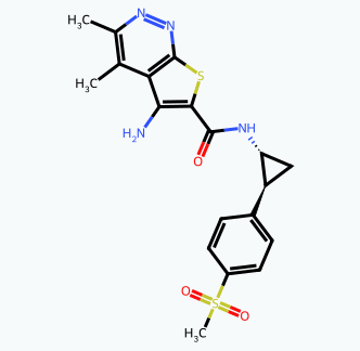 Cc1nnc2sc(C(=O)N[C@@H]3C[C@H]3c3ccc(S(C)(=O)=O)cc3)c(N)c2c1C